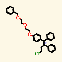 ClCC/C(=C(/c1ccccc1)c1ccc(OCCOCCOCc2ccccc2)cc1)c1ccccc1